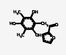 Cc1c(O)c(C)c(O)c(C)c1O.O=Cc1ccco1